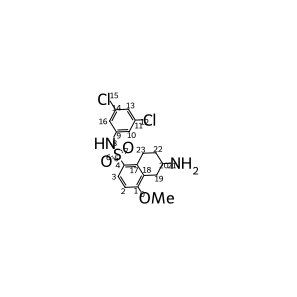 COc1ccc(S(=O)(=O)Nc2cc(Cl)cc(Cl)c2)c2c1CC(N)CC2